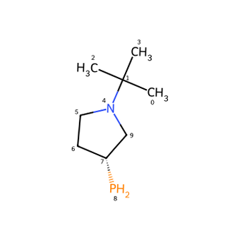 CC(C)(C)N1CC[C@@H](P)C1